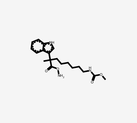 COC(=O)NCCCCCCC(C)(C(=O)ON)c1c[nH]c2ccccc12